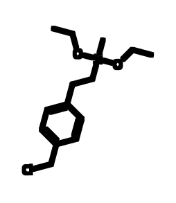 CCO[Si](C)(CCc1ccc(CCl)cc1)OCC